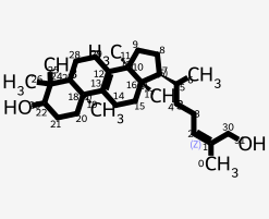 C/C(=C/CCC(C)[C@@H]1CC[C@]2(C)C3=C(CC[C@@]12C)[C@@]1(C)CCC(O)C(C)(C)C1CC3)CO